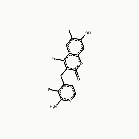 CCc1c(Cc2ccnc(N)c2F)c(=O)oc2cc(O)c(C)cc12